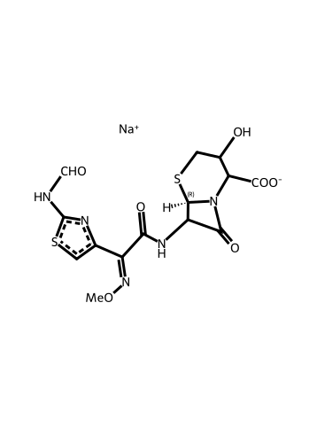 CON=C(C(=O)NC1C(=O)N2C(C(=O)[O-])C(O)CS[C@H]12)c1csc(NC=O)n1.[Na+]